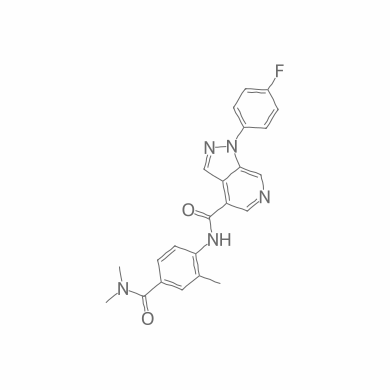 Cc1cc(C(=O)N(C)C)ccc1NC(=O)c1cncc2c1cnn2-c1ccc(F)cc1